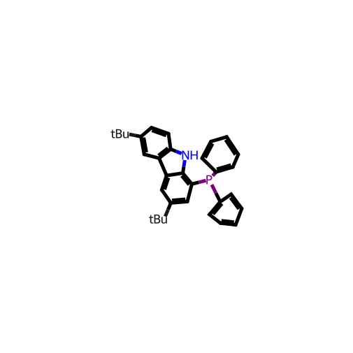 CC(C)(C)c1ccc2[nH]c3c(P(c4ccccc4)c4ccccc4)cc(C(C)(C)C)cc3c2c1